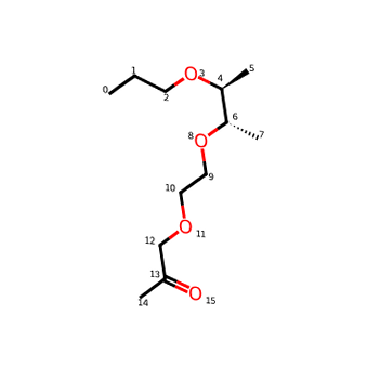 CCCO[C@@H](C)[C@H](C)OCCOCC(C)=O